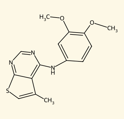 COc1ccc(Nc2ncnc3scc(C)c23)cc1OC